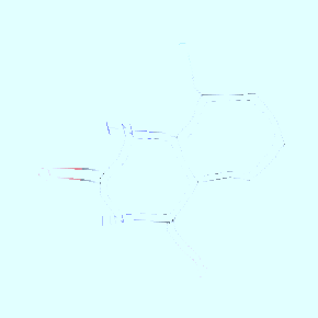 O=c1[nH]c(=O)c2cccc(F)c2[nH]1